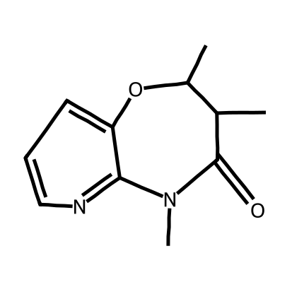 CC1Oc2cccnc2N(C)C(=O)C1C